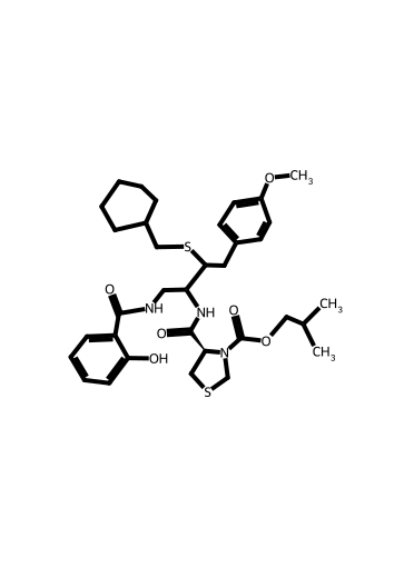 COc1ccc(CC(SCC2CCCCC2)C(CNC(=O)c2ccccc2O)NC(=O)[C@@H]2CSCN2C(=O)OCC(C)C)cc1